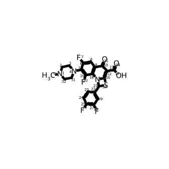 CN1CCN(c2c(F)cc3c(=O)c(C(=O)O)c4n(c3c2F)C(c2ccc(F)c(F)c2)S4)CC1